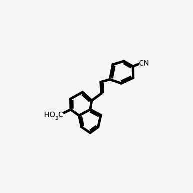 N#Cc1ccc(/C=C/c2ccc(C(=O)O)c3ccccc23)cc1